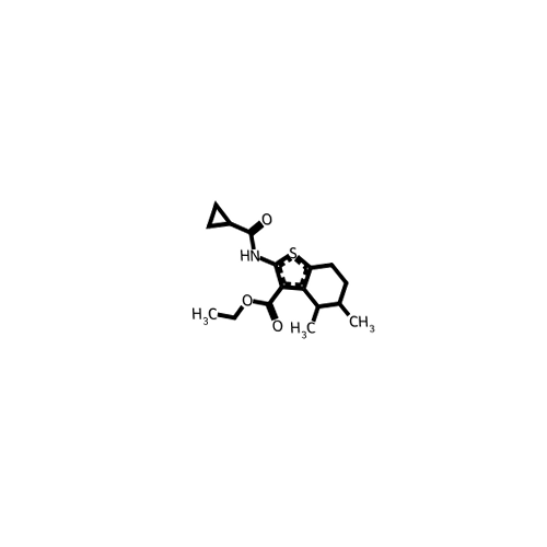 CCOC(=O)c1c(NC(=O)C2CC2)sc2c1C(C)C(C)CC2